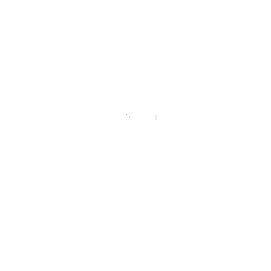 Cl.N[C@@H](CC(F)(F)F)C(=O)OCc1ccccc1